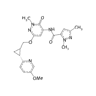 COc1ccc([C@@H]2CC2COc2cc(NC(=O)c3cc(C)nn3C)c(=O)n(C)n2)nc1